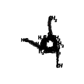 C#CC#CC#CC#CC#CC#CC#CC#COC(=O)Cc1cc2c(O)c(c1)CN(C(=O)C=C)C1CCCCC1N(C(=O)C=C)Cc1cc(CC(=O)OCC#CC#CC#CC#CC#CC#CC#CC)cc(c1O)CN(C(=O)C=C)C1CCCCC1N(C(=O)C=C)Cc1cc(CC(=O)OC#CC#CC#CC#CC#CC#CC#CC#C)cc(c1O)CN(C(=O)C=C)C1CCCCC1N(C(=O)C=C)C2